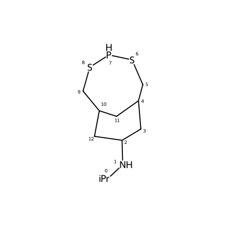 CC(C)NC1CC2CSPSCC(C2)C1